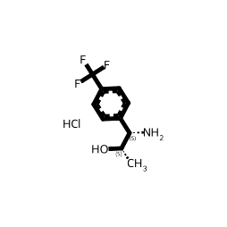 C[C@H](O)[C@@H](N)c1ccc(C(F)(F)F)cc1.Cl